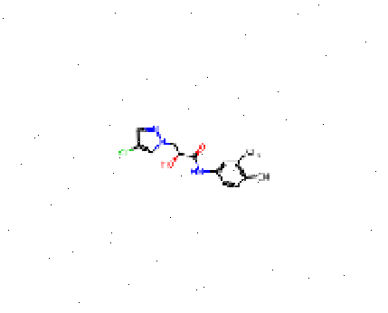 N#Cc1ccc(NC(=O)[C@@H](O)Cn2cc(Cl)cn2)cc1C(F)(F)F